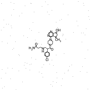 C[C@@H]1C[C@@H](O)c2ncnc(N3CCN(C(=O)C(CNCCC(N)=O)c4ccc(Cl)cc4)CC3)c21